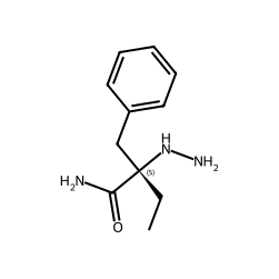 CC[C@@](Cc1ccccc1)(NN)C(N)=O